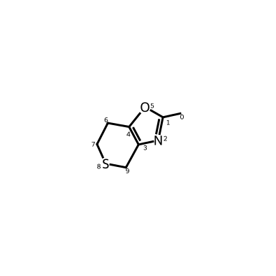 Cc1nc2c(o1)CCSC2